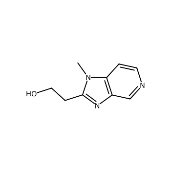 Cn1c(CCO)nc2cnccc21